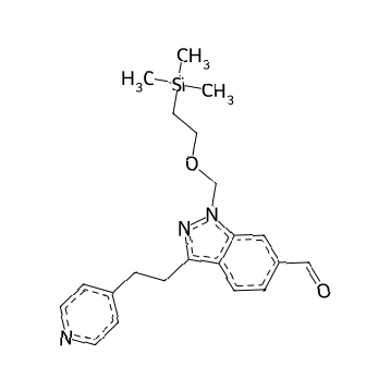 C[Si](C)(C)CCOCn1nc(CCc2ccncc2)c2ccc(C=O)cc21